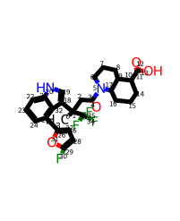 CC(CC(=O)N1CCCC2C(C(=O)O)CCCC21)(c1c[nH]c2cccc(-c3ccc(F)o3)c12)C(F)(F)F